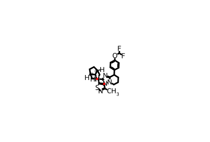 Cc1cc(N2C[C@H]3CC[C@@H](C2)C3Nc2nc3n(n2)CCCC3c2ccc(OC(F)F)cc2)sn1